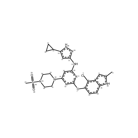 Cc1cc2c(Cl)c(Oc3nc(Nc4cc(C5CC5)[nH]n4)cc(N4CCN(S(C)(=O)=O)CC4)n3)ccc2[nH]1